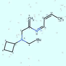 C=C(CN(CC(C)(C)C)C1CCC1)/N=C\C=C/C